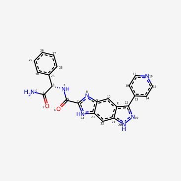 NC(=O)[C@@H](NC(=O)c1nc2cc3c(-c4ccncc4)n[nH]c3cc2[nH]1)c1ccccc1